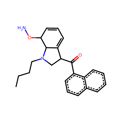 CCCCN1CC(C(=O)c2cccc3ccccc23)C2=CC=CC(ON)C21